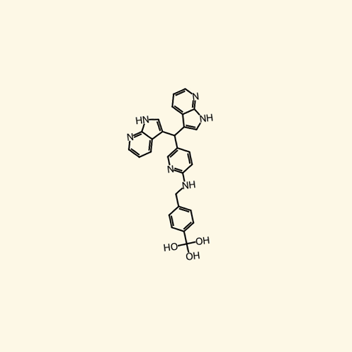 OC(O)(O)c1ccc(CNc2ccc(C(c3c[nH]c4ncccc34)c3c[nH]c4ncccc34)cn2)cc1